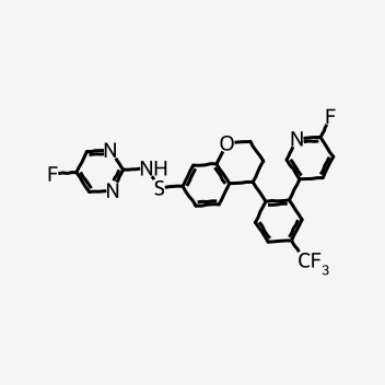 Fc1cnc(NSc2ccc3c(c2)OCCC3c2ccc(C(F)(F)F)cc2-c2ccc(F)nc2)nc1